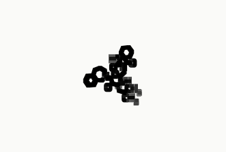 CC(C)C[C@H](NC(=O)CN1C(=O)NC2(CCCCC2)C1=O)C(=O)CN1CCCc2ccccc2C1